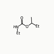 [CH2]CNC(=O)OC(C)CC